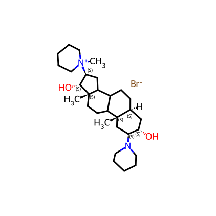 C[C@]12CCC3C(CC[C@H]4C[C@H](O)[C@@H](N5CCCCC5)C[C@]34C)C1C[C@H]([N+]1(C)CCCCC1)[C@H]2O.[Br-]